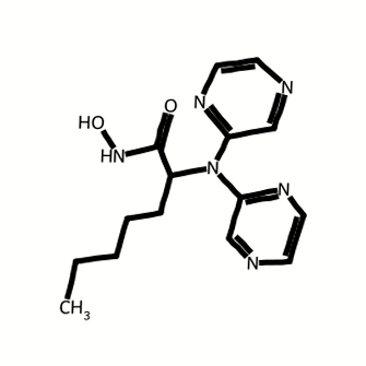 CCCCCC(C(=O)NO)N(c1cnccn1)c1cnccn1